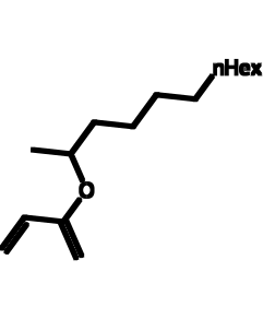 C=CC(=C)OC(C)CCCCCCCCCC